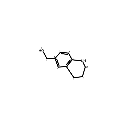 OCc1ccc2c(c1)CCCN2